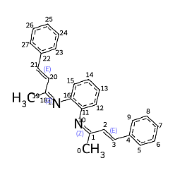 CC(/C=C/c1ccccc1)=N/c1ccccc1/N=C(C)\C=C\c1ccccc1